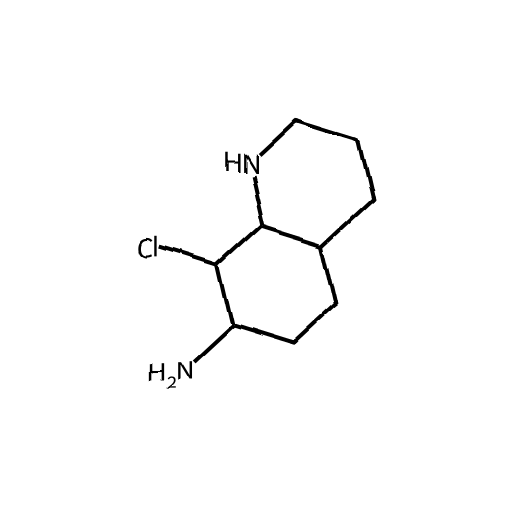 NC1CCC2CCCNC2C1Cl